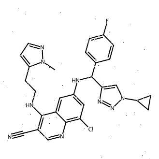 Cn1nccc1CCNc1c(C#N)cnc2c(Cl)cc(NC(c3ccc(F)cc3)c3cn(C4CC4)nn3)cc12